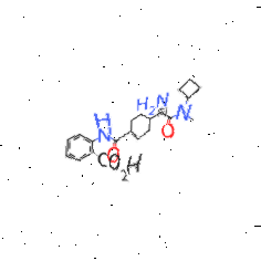 CN(C(=O)[C@@H](N)C1CCC(C(=O)Nc2ccccc2C(=O)O)CC1)C1CCC1